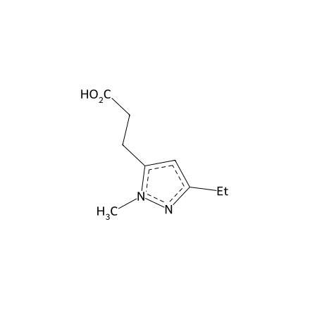 CCc1cc(CCC(=O)O)n(C)n1